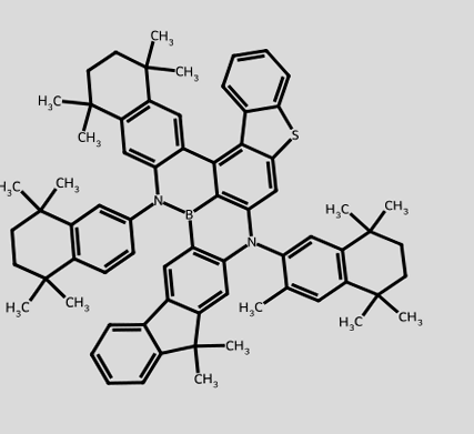 Cc1cc2c(cc1N1c3cc4c(cc3B3c5c1cc1sc6ccccc6c1c5-c1cc5c(cc1N3c1ccc3c(c1)C(C)(C)CCC3(C)C)C(C)(C)CCC5(C)C)-c1ccccc1C4(C)C)C(C)(C)CCC2(C)C